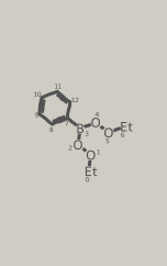 CCOOB(OOCC)c1ccccc1